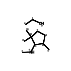 CCO.CNC1C(C)CCC1(C)C